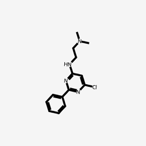 CN(C)CCNc1cc(Cl)nc(-c2ccccc2)n1